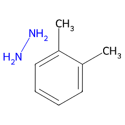 Cc1ccccc1C.NN